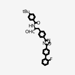 CC(C)(C)c1ccc(C(=O)NC(C=O)Cc2ccc(-c3noc(-c4ccc(-c5ccccc5F)cc4)n3)cc2)cc1